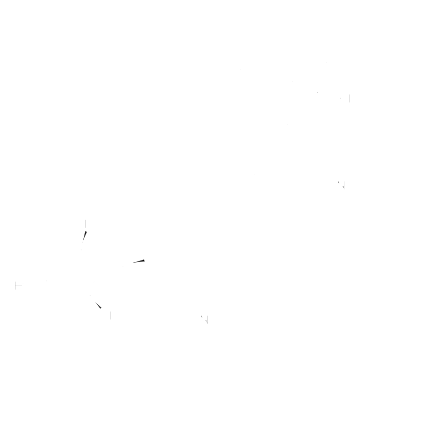 CC1(C)c2ccccc2-c2ccc(N(c3ccccc3)c3ccc4c(c3)C3(c5ccccc5-c5ccc(N(c6ccccc6)c6cccc(C7[C@H]8C[C@@H]9C[C@@H](C[C@@H]7C9)C8)c6)cc53)c3ccccc3-4)cc21